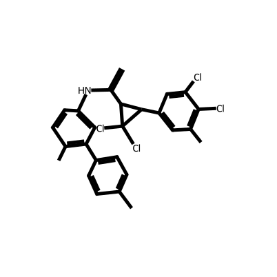 C=C(Nc1ccc(C)c(-c2ccc(C)cc2)c1)C1C(c2cc(C)c(Cl)c(Cl)c2)C1(Cl)Cl